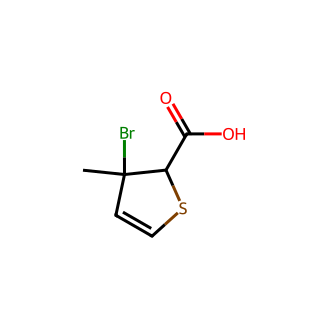 CC1(Br)C=CSC1C(=O)O